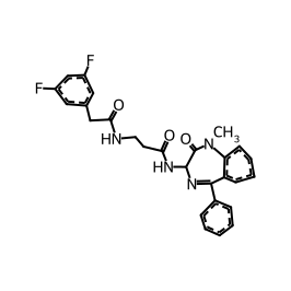 CN1C(=O)C(NC(=O)CCNC(=O)Cc2cc(F)cc(F)c2)N=C(c2ccccc2)c2ccccc21